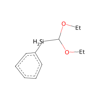 CCOC(OCC)[SiH2]c1ccccc1